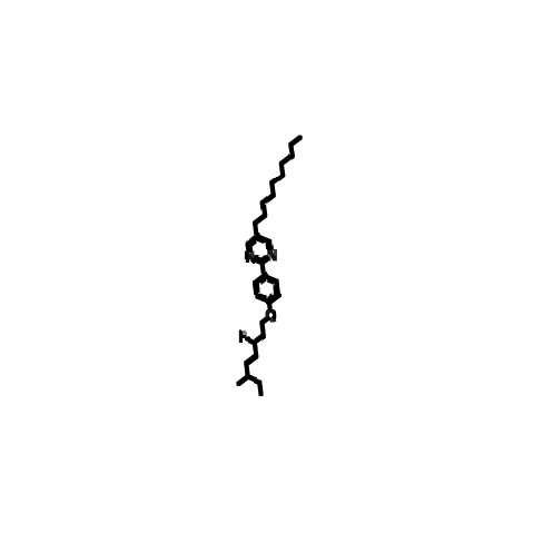 CCCCCCCCCCc1cnc(-c2ccc(OCCC(F)CCC(C)CC)cc2)nc1